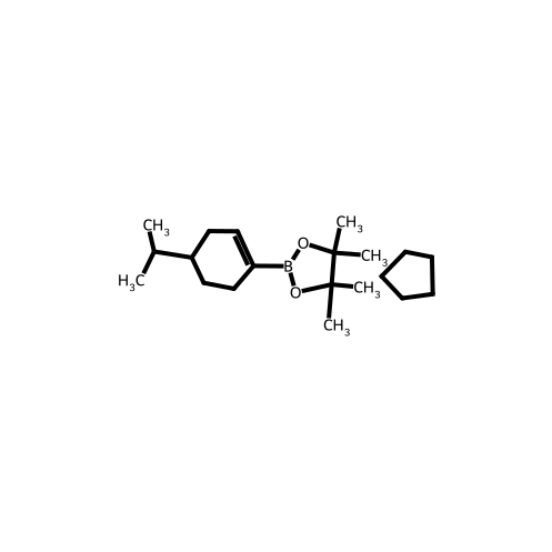 C1CCCC1.CC(C)C1CC=C(B2OC(C)(C)C(C)(C)O2)CC1